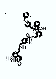 O=C(NCCc1cccc(C(O)(C(=O)OCC2CCN(Cc3ccccc3)CC2)c2ccccc2)c1)c1ccc(CNCCc2ccc(O)c3[nH]c(=O)ccc23)cc1